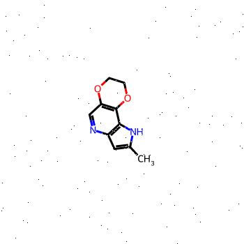 Cc1cc2ncc3c(c2[nH]1)OCCO3